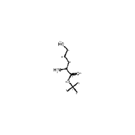 CC(C)(C)OC(=O)C(N)CCCO